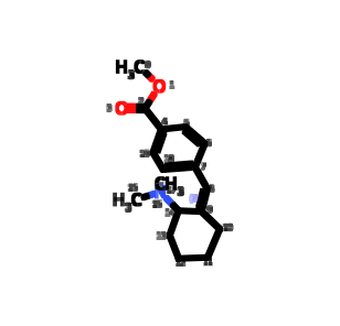 COC(=O)c1ccc(/C=C2/CCCCC2N(C)C)cc1